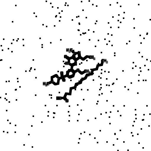 CCCCCCCCCCCCCCCC(=O)O.CCCc1nn(C)c2c(=O)[nH]c(-c3cc(S(=O)(=O)N4CCN(C)CC4)ccc3OCC)nc12